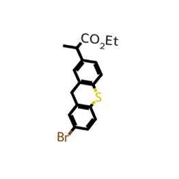 CCOC(=O)C(C)c1ccc2c(c1)Cc1cc(Br)ccc1S2